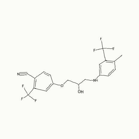 Cc1ccc(NCC(O)COc2ccc(C#N)c(C(F)(F)F)c2)cc1C(F)(F)F